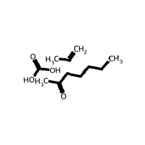 C=CC.CCCCCC(C)=O.O=C(O)O